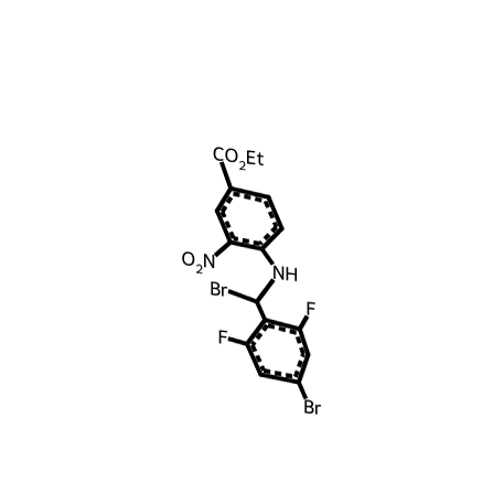 CCOC(=O)c1ccc(NC(Br)c2c(F)cc(Br)cc2F)c([N+](=O)[O-])c1